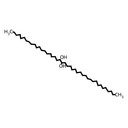 CCCCCCCCCCCCCCCCCCCCCC(O)C(O)CCCCCCCCCCCCCCCCCCC